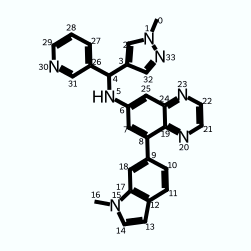 Cn1cc(C(Nc2cc(-c3ccc4ccn(C)c4c3)c3nccnc3c2)c2cccnc2)cn1